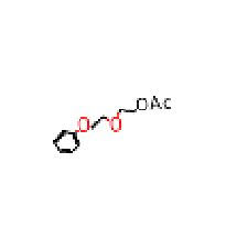 CC(=O)OCCOCCOc1ccccc1